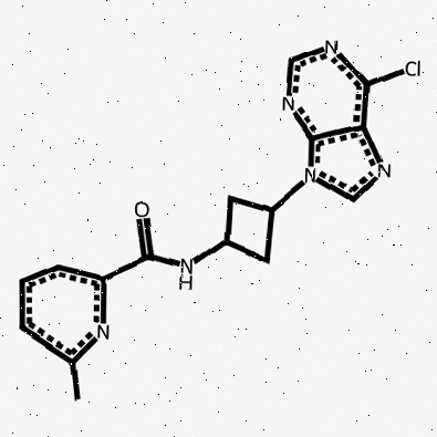 Cc1cccc(C(=O)NC2CC(n3cnc4c(Cl)ncnc43)C2)n1